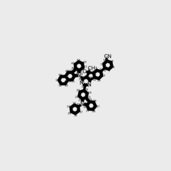 CC1(C)c2cc(-c3cccc(C#N)c3)ccc2-c2nc(-c3ccc4c(c3)c3ccccc3n4-c3ccccc3)nc(-n3c4ccccc4c4cc5ccccc5cc43)c21